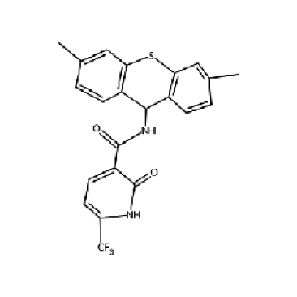 Cc1ccc2c(c1)Sc1cc(C)ccc1C2NC(=O)c1ccc(C(F)(F)F)[nH]c1=O